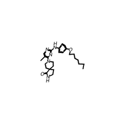 CCCCCCCOc1ccc(Nc2ncc(C)c(N3CCC4(CCNC4=O)CC3)n2)cc1